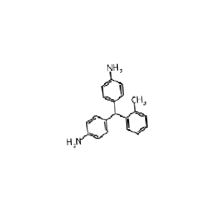 Cc1ccccc1C(c1ccc(N)cc1)c1ccc(N)cc1